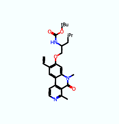 C=Cc1cc2c3ccnc(C)c3c(=O)n(C)c2cc1OCC(CC(C)C)NC(=O)OC(C)(C)C